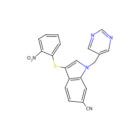 N#Cc1ccc2c(Sc3ccccc3[N+](=O)[O-])cn(Cc3cncnc3)c2c1